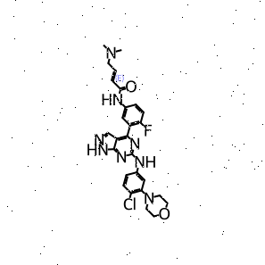 CN(C)C/C=C/C(=O)Nc1ccc(F)c(-c2nc(Nc3ccc(Cl)c(N4CCOCC4)c3)nc3[nH]ncc23)c1